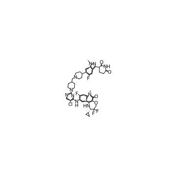 Cn1nc(C2CCC(=O)NC2=O)c2cc(F)c(C3CCN(CC4CCN(c5ncc(Cl)c(Nc6cc7c8c(c(=O)n(C)c7cc6F)OCC(F)(F)[C@H](C6CC6)N8)n5)CC4)CC3)cc21